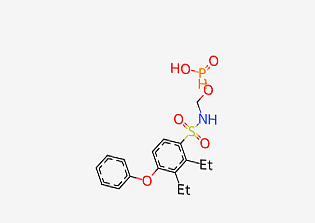 CCc1c(Oc2ccccc2)ccc(S(=O)(=O)NCO[PH](=O)O)c1CC